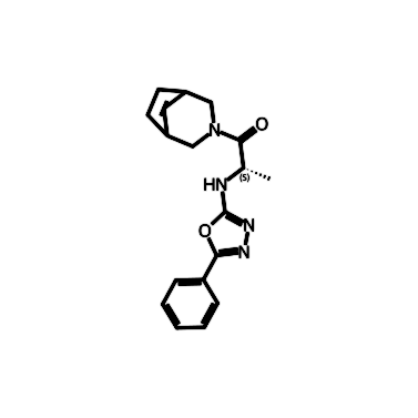 C[C@H](Nc1nnc(-c2ccccc2)o1)C(=O)N1CC2CCC(C1)C21CC1